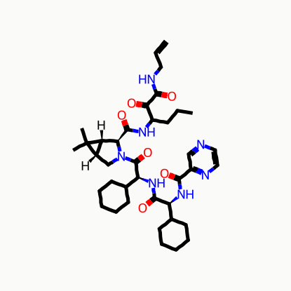 C=CCNC(=O)C(=O)C(CCC)NC(=O)[C@@H]1[C@@H]2[C@H](CN1C(=O)[C@@H](NC(=O)[C@@H](NC(=O)c1cnccn1)C1CCCCC1)C1CCCCC1)C2(C)C